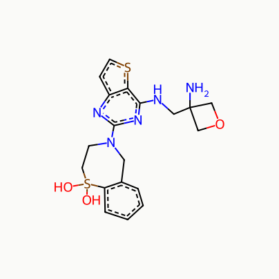 NC1(CNc2nc(N3CCS(O)(O)c4ccccc4C3)nc3ccsc23)COC1